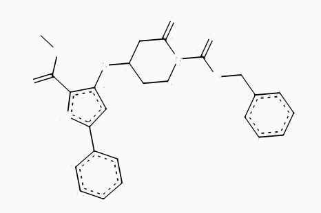 COC(=O)c1sc(-c2ccccc2)cc1NC1CCN(C(=O)OCc2ccccc2)C(=O)C1